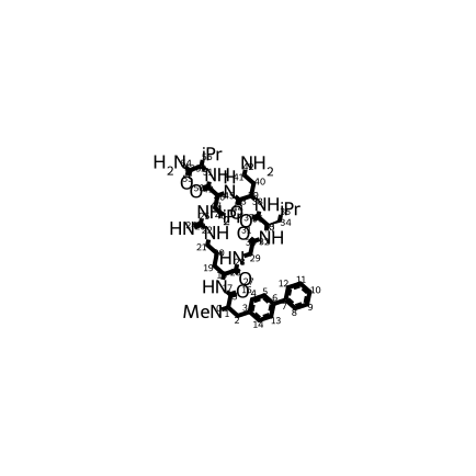 CNC(Cc1ccc(-c2ccccc2)cc1)C(=O)NC(CCCNC(=N)N)C(=O)NCC(=O)N[C@H](CC(C)C)C(=O)NC(CCN)C(=O)NC(CC(C)C)C(=O)NC(C(N)=O)C(C)C